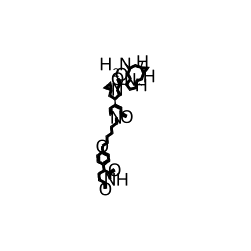 N[C@H]1C[C@@H]2C[C@@H]2C[C@H]2CC[C@@H](C(=O)N3C[C@@H](c4ccn(CCCCCOc5ccc(C6CCC(=O)NC6=O)cc5)c(=O)c4)CC34CC4)N2C1=O